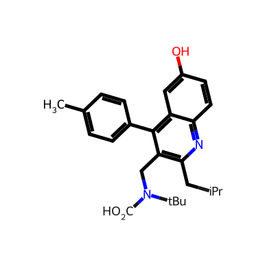 Cc1ccc(-c2c(CN(C(=O)O)C(C)(C)C)c(CC(C)C)nc3ccc(O)cc23)cc1